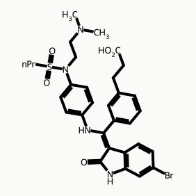 CCCS(=O)(=O)N(CCN(C)C)c1ccc(N/C(=C2\C(=O)Nc3cc(Br)ccc32)c2cccc(CCC(=O)O)c2)cc1